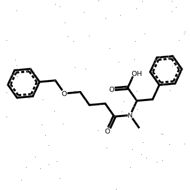 CN(C(=O)CCCOCc1ccccc1)C(Cc1ccccc1)C(=O)O